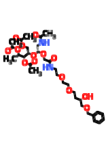 CC(=O)NC[C@H](OCC(=O)NCCOCCOCC[C@H](O)COCc1ccccc1)O[C@H](COC(C)=O)[C@H](OC(C)=O)[C@@H](C)OC(C)=O